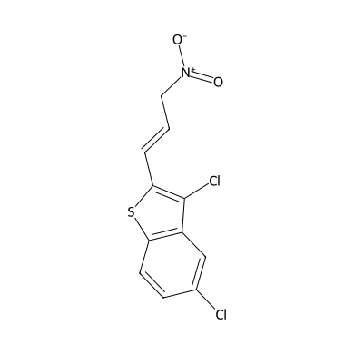 O=[N+]([O-])CC=Cc1sc2ccc(Cl)cc2c1Cl